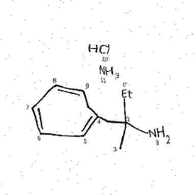 CCC(C)(N)c1ccccc1.Cl.N